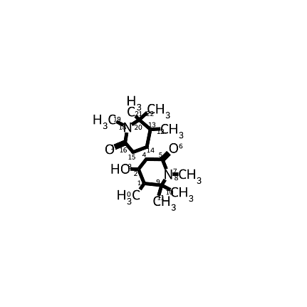 CC1C(O)CC(=O)N(C)C1(C)C.CC1CCC(=O)N(C)C1(C)C